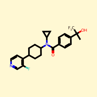 CC(O)(c1ccc(C(=O)N(C2CCC(c3ccncc3F)CC2)C2CC2)cc1)C(F)(F)F